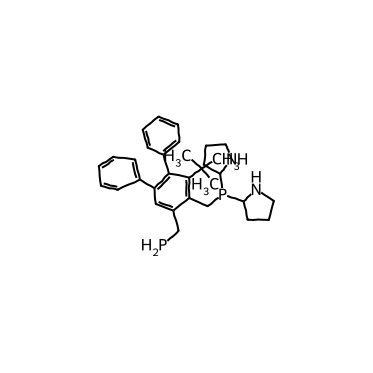 CC(C)(C)c1c(CP(C2CCCN2)C2CCCN2)c(CP)cc(-c2ccccc2)c1-c1ccccc1